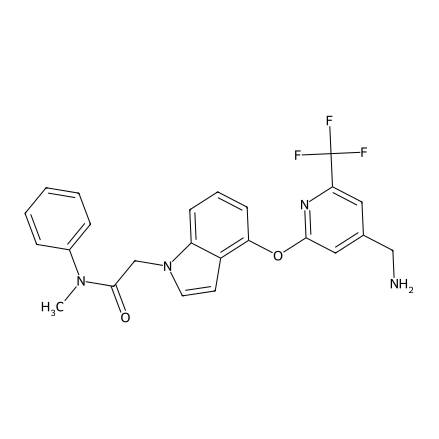 CN(C(=O)Cn1ccc2c(Oc3cc(CN)cc(C(F)(F)F)n3)cccc21)c1ccccc1